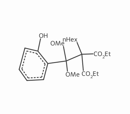 CCCCCCC(C(=O)OCC)(C(=O)OCC)C(OC)(OC)c1ccccc1O